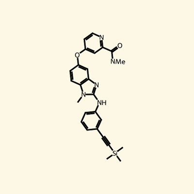 CNC(=O)c1cc(Oc2ccc3c(c2)nc(Nc2cccc(C#C[Si](C)(C)C)c2)n3C)ccn1